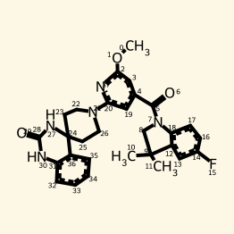 COc1cc(C(=O)N2CC(C)(C)c3cc(F)ccc32)cc(N2CCC3(CC2)NC(=O)Nc2ccccc23)n1